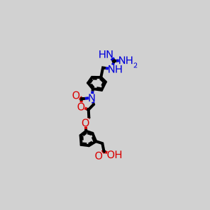 N=C(N)NCc1ccc(N2CC(COc3cccc(CC(=O)O)c3)OC2=O)cc1